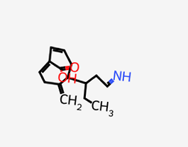 C=C1C/C=C(C(=O)O)/C=C\CC1C(CC)CC=N